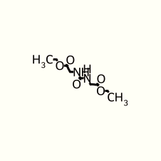 CCOC(=O)CNC(=O)NCC(=O)OCC